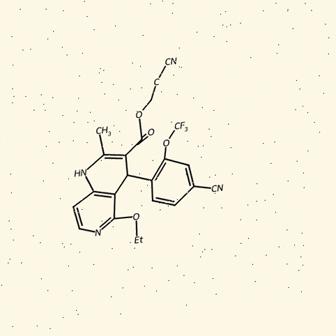 CCOc1nccc2c1C(c1ccc(C#N)cc1OC(F)(F)F)C(C(=O)OCCC#N)=C(C)N2